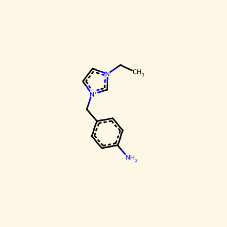 CCn1cc[n+](Cc2ccc(N)cc2)c1